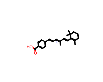 CC1=C(C=C/C(C)=C/C=Cc2ccc(C(=O)O)cc2)C(C)(C)CCC1